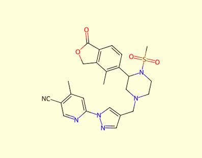 Cc1cc(-n2cc(CN3CCN(S(C)(=O)=O)C(c4ccc5c(c4C)COC5=O)C3)cn2)ncc1C#N